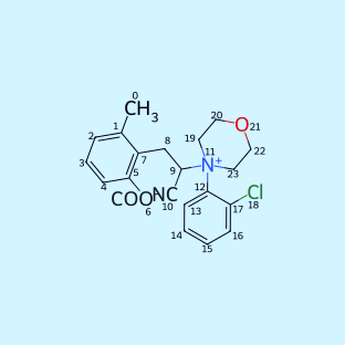 Cc1cccc(C(=O)[O-])c1CC(C#N)[N+]1(c2ccccc2Cl)CCOCC1